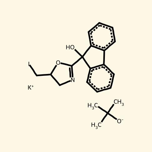 CC(C)(C)[O-].OC1(C2=NCC(CI)O2)c2ccccc2-c2ccccc21.[K+]